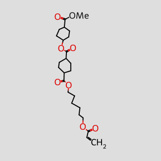 C=CC(=O)OCCCCCCOC(=O)C1CCC(C(=O)OC2CCC(C(=O)OC)CC2)CC1